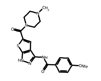 COc1ccc(C(=O)Nc2n[nH]c3sc(C(=O)N4CCN(C)CC4)cc23)cc1